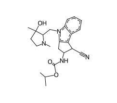 CC(C)OC(=O)NC1Cc2c(c3ccccc3n2CC2N(C)CCC2(C)O)C1C#N